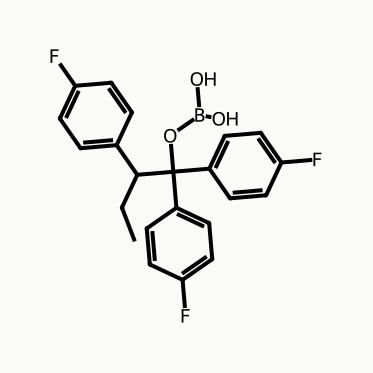 CCC(c1ccc(F)cc1)C(OB(O)O)(c1ccc(F)cc1)c1ccc(F)cc1